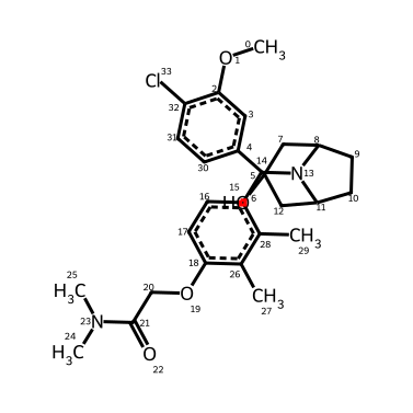 COc1cc(C2(O)CC3CCC(C2)N3Cc2ccc(OCC(=O)N(C)C)c(C)c2C)ccc1Cl